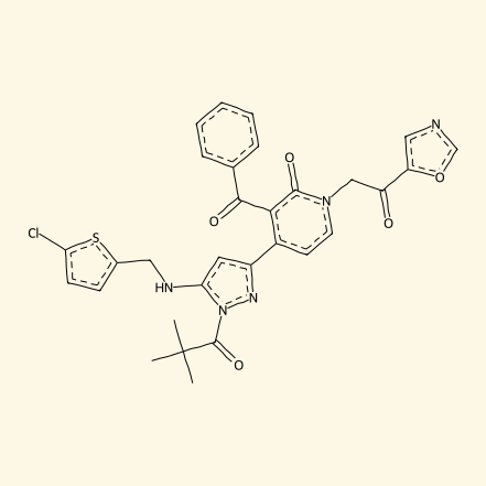 CC(C)(C)C(=O)n1nc(-c2ccn(CC(=O)c3cnco3)c(=O)c2C(=O)c2ccccc2)cc1NCc1ccc(Cl)s1